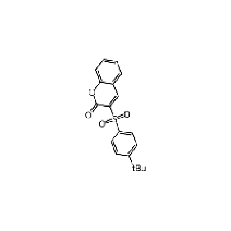 CC(C)(C)c1ccc(S(=O)(=O)c2cc3ccccc3oc2=O)cc1